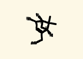 CC(=O)OCC1=CC(O)[C@H]2C[C@@H]1C2(C)C